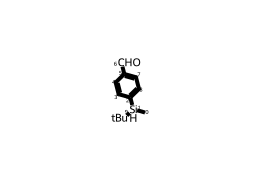 C[SiH](c1ccc(C=O)cc1)C(C)(C)C